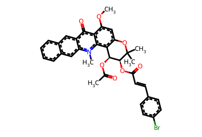 COc1cc2c(c3c1c(=O)c1cc4ccccc4cc1n3C)[C@H](OC(C)=O)[C@H](OC(=O)C=Cc1ccc(Br)cc1)C(C)(C)O2